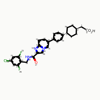 O=C(O)C[C@H]1CC[C@H](c2ccc(-c3ccc4nc(C(=O)NCc5c(F)cc(Cl)cc5F)cn4c3)cc2)CC1